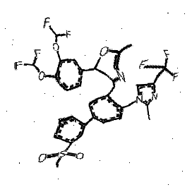 CC1=NC(c2cc(-c3cccc(S(C)(=O)=O)c3)ccc2-n2cc(C(F)(F)F)nc2C)C(c2ccc(OC(F)F)c(OC(F)F)c2)O1